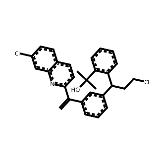 C=C(c1cccc(C(CCCl)c2ccccc2C(C)(C)O)c1)c1ccc2ccc(Cl)cc2n1